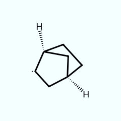 [CH]1C[C@@H]2CC[C@H]1C2